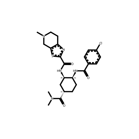 CN1CCc2nc(C(=O)N[C@@H]3C[C@@H](C(=O)N(C)C)CC[C@@H]3NC(=O)c3ccc(Cl)cc3)sc2C1